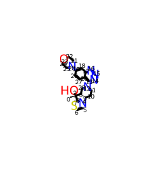 C[C@](O)(c1nccs1)[C@H]1CCCN(c2nnnc3cc(N4CCOCC4)ccc23)C1